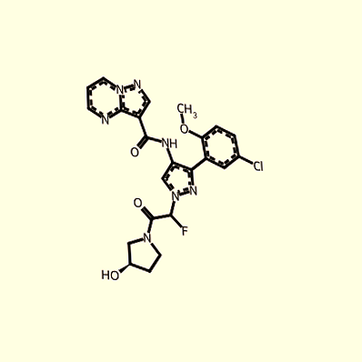 COc1ccc(Cl)cc1-c1nn(C(F)C(=O)N2CC[C@@H](O)C2)cc1NC(=O)c1cnn2cccnc12